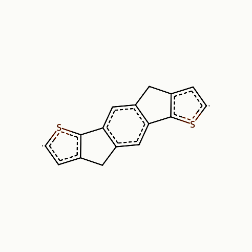 [c]1cc2c(s1)-c1cc3c(cc1C2)-c1s[c]cc1C3